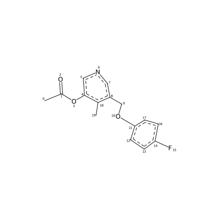 CC(=O)Oc1cncc(COc2ccc(F)cc2)c1C